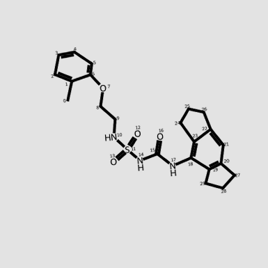 Cc1ccccc1OCCNS(=O)(=O)NC(=O)Nc1c2c(cc3c1CCC3)CCC2